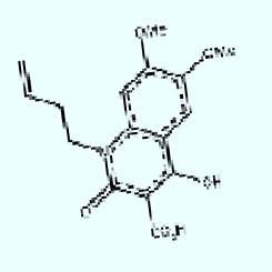 C=CCCn1c(=O)c(C(=O)O)c(O)c2cc(OC)c(OC)cc21